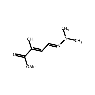 COC(=O)C(C)=CC=NN(C)C